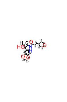 C[C@@H](NC(=O)CCC1CCOCC1)[C@H](O)c1ccc2c(c1)OCCO2